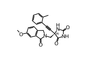 COc1ccc2c(c1)C(=O)N(C[C@@]1(C#Cc3ccccc3C)NC(=O)NC1=O)C2